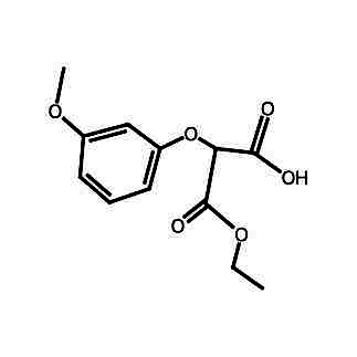 CCOC(=O)C(Oc1cccc(OC)c1)C(=O)O